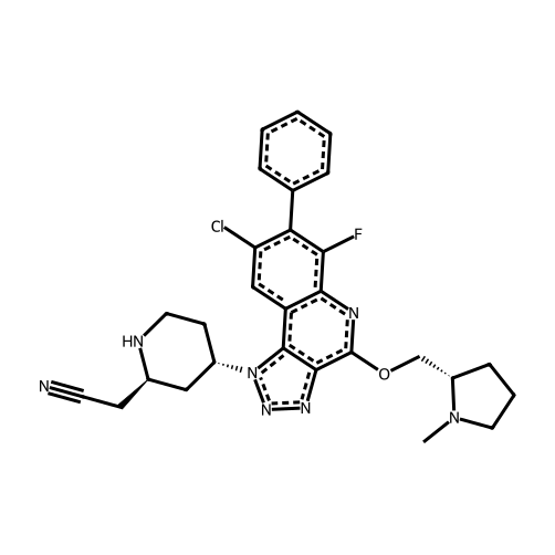 CN1CCC[C@H]1COc1nc2c(F)c(-c3ccccc3)c(Cl)cc2c2c1nnn2[C@H]1CCN[C@H](CC#N)C1